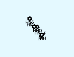 O=C(Nc1cccc2cc(NC(=S)Nc3ccccc3)ccc12)Nc1cc(F)cc2[nH]ncc12